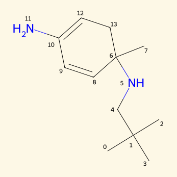 CC(C)(C)CNC1(C)C=CC(N)=CC1